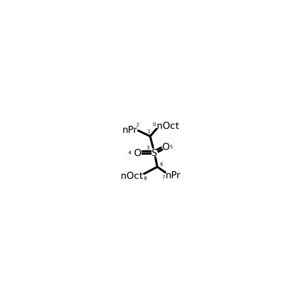 CCCCCCCCC(CCC)S(=O)(=O)C(CCC)CCCCCCCC